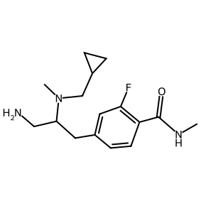 CNC(=O)c1ccc(CC(CN)N(C)CC2CC2)cc1F